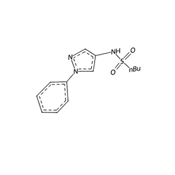 CCCCS(=O)(=O)Nc1cnn(-c2ccccc2)c1